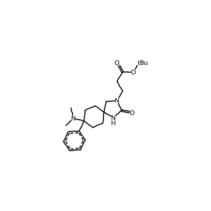 CN(C)C1(c2ccccc2)CCC2(CC1)CN(CCC(=O)OC(C)(C)C)C(=O)N2